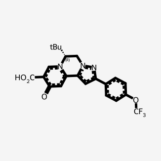 CC(C)(C)[C@@H]1Cn2nc(-c3ccc(OC(F)(F)F)cc3)cc2-c2cc(=O)c(C(=O)O)cn21